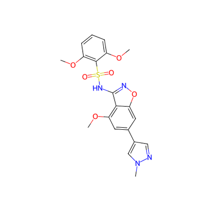 COc1cccc(OC)c1S(=O)(=O)Nc1noc2cc(-c3cnn(C)c3)cc(OC)c12